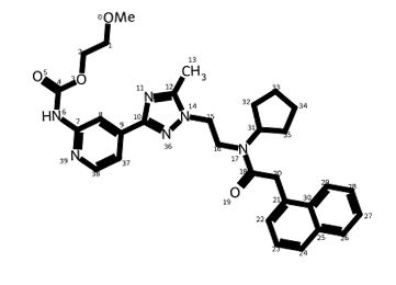 COCCOC(=O)Nc1cc(-c2nc(C)n(CCN(C(=O)Cc3cccc4ccccc34)C3CCCC3)n2)ccn1